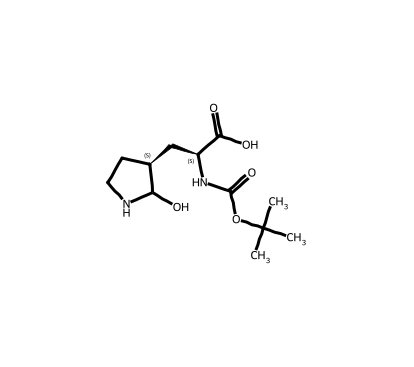 CC(C)(C)OC(=O)N[C@@H](C[C@@H]1CCNC1O)C(=O)O